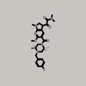 COc1nc2c(cc1C(=O)N1C[C@H](C)N(Cc3ccc(F)cc3)C[C@H]1C)C(C(=O)C(=O)N(C)C)CN2C